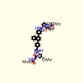 COC[C@H]1C[C@@H](c2ncc(-c3ccc(-c4ccc(-c5ccc6[nH]c([C@@H]7CC[C@H](C)N7C(=O)C(NC(=O)OC)C(C)C)nc6c5)c5c4C4CCC5C4)cc3)[nH]2)N(C(=O)CNC(=O)OC)C1